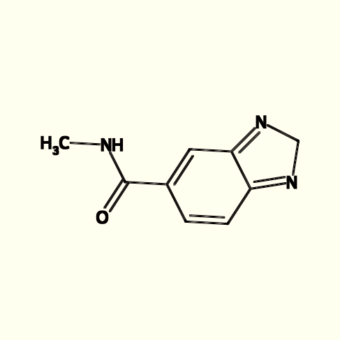 CNC(=O)c1ccc2c(c1)=NCN=2